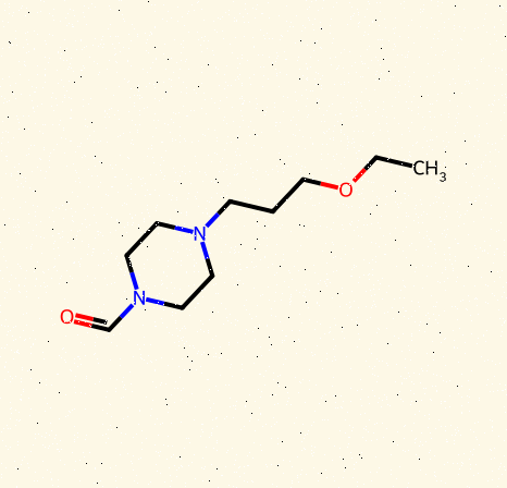 CCOCCCN1CCN(C=O)CC1